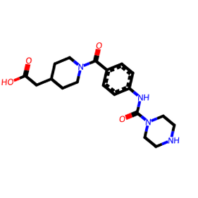 O=C(O)CC1CCN(C(=O)c2ccc(NC(=O)N3CCNCC3)cc2)CC1